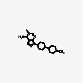 CN1CCN(C2CCC(n3ncc4c3N=CN(I)C4N)CC2)CC1